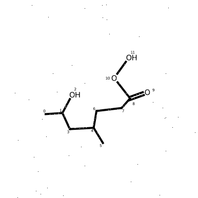 CC(O)CC(C)CCC(=O)OO